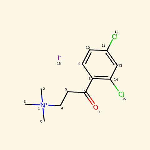 C[N+](C)(C)CCC(=O)c1ccc(Cl)cc1Cl.[I-]